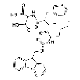 CCCC[C@H](NC(=O)OCC1c2ccccc2-c2ccccc21)C(=O)N(C)[C@@H](Cc1ccccc1)C(=O)N[C@H](C(=O)O)C(O)Cl